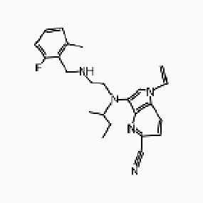 C=Cn1cc(N(CCNCc2c(C)cccc2F)C(C)CC)c2nc(C#N)ccc21